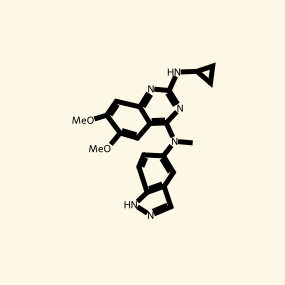 COc1cc2nc(NC3CC3)nc(N(C)c3ccc4[nH]ncc4c3)c2cc1OC